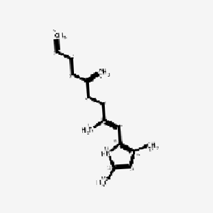 C=CCCC(=C)CC/C(N)=C/c1[nH]c(C)cc1C